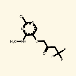 CNc1nc(Cl)ncc1OCC(=O)CC(F)(F)F